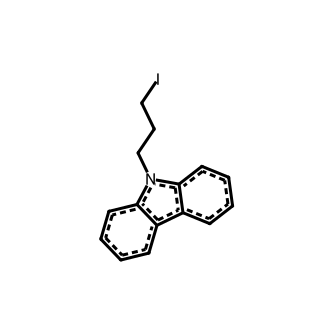 ICCCn1c2ccccc2c2ccccc21